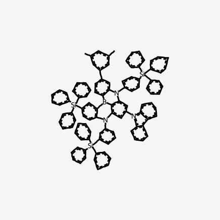 Cc1cc(C)cc(-c2ccc3c(c2)N(c2ccc([Si](c4ccccc4)(c4ccccc4)c4ccccc4)cc2)c2cc(-n4c5ccccc5c5ccccc54)cc4c2B3c2cc([Si](c3ccccc3)(c3ccccc3)c3ccccc3)ccc2N4c2cccc([Si](c3ccccc3)(c3ccccc3)c3ccccc3)c2)c1